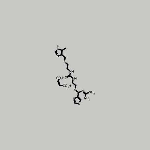 Cc1[nH]cnc1CSCCNC(=S)NCCSC(N=C(N)N)c1cscn1.O=C(O)/C=C\C(=O)O